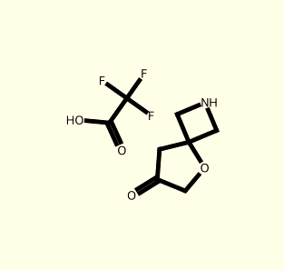 O=C(O)C(F)(F)F.O=C1COC2(CNC2)C1